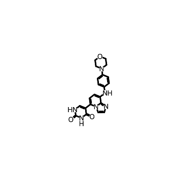 O=c1[nH]cc(-c2ccc(Nc3ccc(N4CCOCC4)cc3)c3nccn23)c(=O)[nH]1